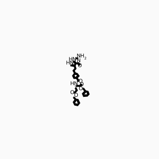 Nc1nc(=O)c2c(CCc3ccc(C(=O)N[C@@H](CCC(=O)OCc4ccccc4)C(=O)OCc4ccccc4)cc3)c[nH]c2[nH]1